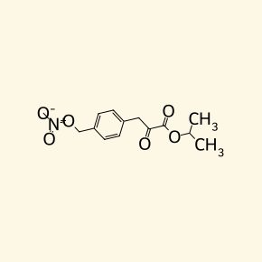 CC(C)OC(=O)C(=O)Cc1ccc(CO[N+](=O)[O-])cc1